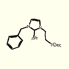 CCCCCCCCCCCCN1C=CN(Cc2ccccc2)C1CCC